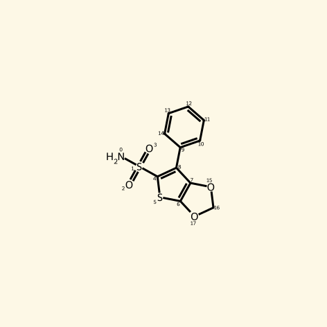 NS(=O)(=O)c1sc2c(c1-c1ccccc1)OCO2